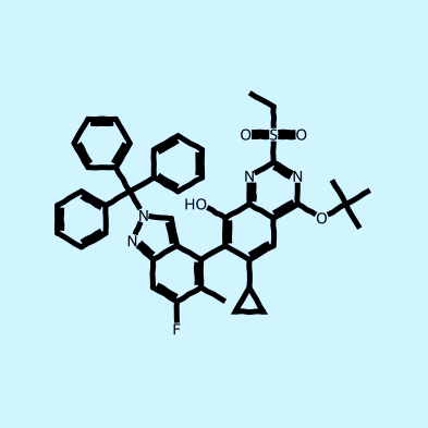 CCS(=O)(=O)c1nc(OC(C)(C)C)c2cc(C3CC3)c(-c3c(C)c(F)cc4nn(C(c5ccccc5)(c5ccccc5)c5ccccc5)cc34)c(O)c2n1